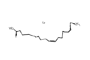 CCCCCC/C=C\CCCCCCCC(=O)O.[La]